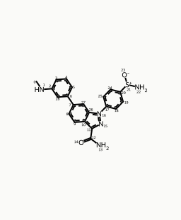 CNc1cccc(-c2ccc3c(C(N)=O)nn(-c4ccc([S+](N)[O-])cc4)c3c2)c1